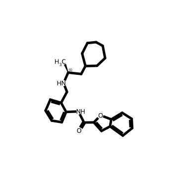 C[C@@H](CC1CCCCCC1)NCc1ccccc1NC(=O)c1cc2ccccc2o1